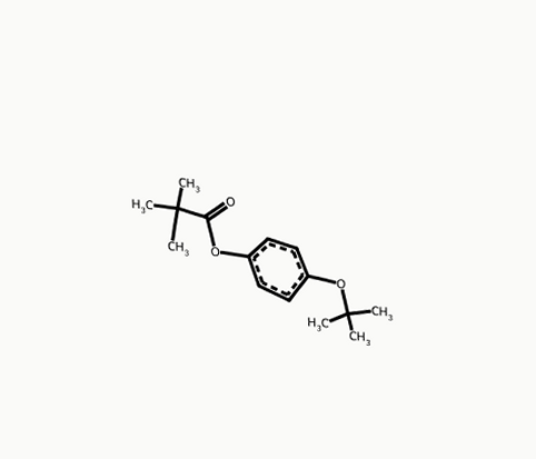 CC(C)(C)Oc1ccc(OC(=O)C(C)(C)C)cc1